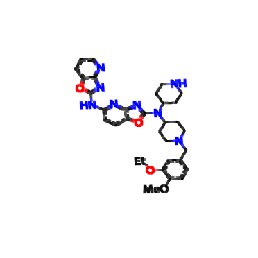 CCOc1cc(CN2CCC(N(c3nc4nc(Nc5nc6ncccc6o5)ccc4o3)C3CCNCC3)CC2)ccc1OC